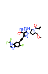 C=CC(=O)N1C[C@@H](n2nc(C#Cc3cc4c(cc3F)ncn4C(F)F)c(C(N)=O)c2NC)C[C@@H]1COC